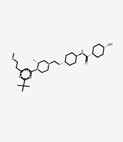 COCCc1cc(N2CCN(CC[C@H]3CC[C@H](NC(=O)[C@H]4CC[C@@H](O)CC4)CC3)C[C@H]2C)nc(C(C)(C)C)n1